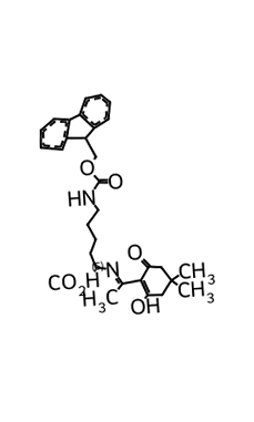 CC(=N[C@@H](CCCCNC(=O)OCC1c2ccccc2-c2ccccc21)C(=O)O)C1=C(O)CC(C)(C)CC1=O